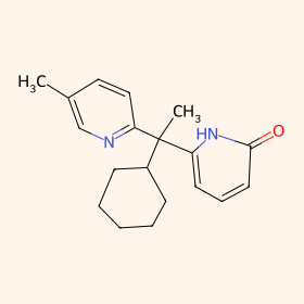 Cc1ccc(C(C)(c2cccc(=O)[nH]2)C2CCCCC2)nc1